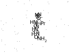 Cc1c(-c2[nH]c3ccc(N4CCN(CC(N)=O)C[C@H]5C[C@H]54)nc3c2C(C)C)cn2ncnc2c1C